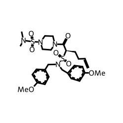 C=CCC[C@H](C(=O)N1CCN(S(=O)(=O)N(C)C)CC1)S(=O)(=O)N(Cc1ccc(OC)cc1)Cc1ccc(OC)cc1